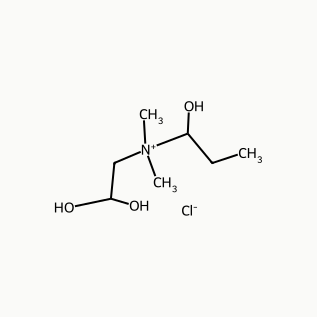 CCC(O)[N+](C)(C)CC(O)O.[Cl-]